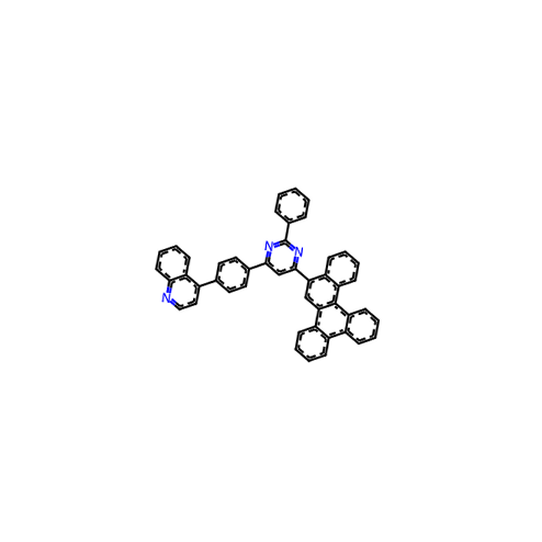 c1ccc(-c2nc(-c3ccc(-c4ccnc5ccccc45)cc3)cc(-c3cc4c5ccccc5c5ccccc5c4c4ccccc34)n2)cc1